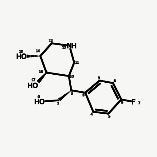 OC[C@@H](c1ccc(F)cc1)C1CNC[C@@H](O)[C@@H]1O